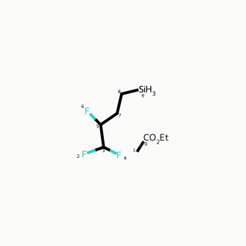 CCOC(C)=O.FC(F)C(F)CC[SiH3]